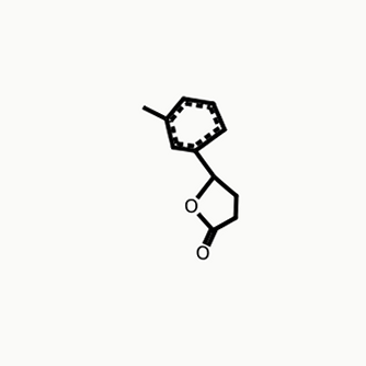 Cc1cccc(C2CCC(=O)O2)c1